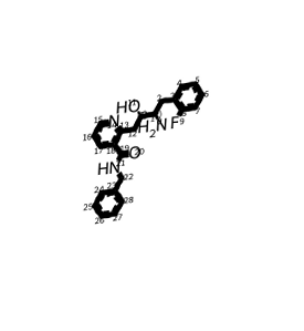 N[C@H](Cc1ccccc1F)[C@@H](O)Cc1ncccc1C(=O)NCc1ccccc1